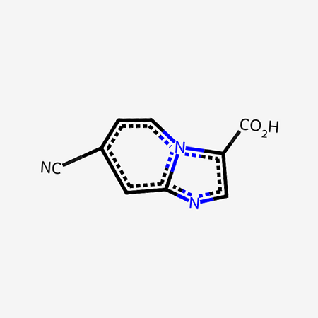 N#Cc1ccn2c(C(=O)O)cnc2c1